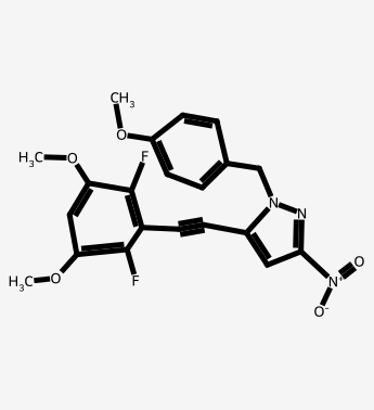 COc1ccc(Cn2nc([N+](=O)[O-])cc2C#Cc2c(F)c(OC)cc(OC)c2F)cc1